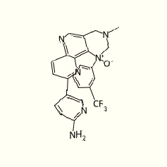 CN1Cc2cnc3ccc(-c4ccc(N)nc4)nc3c2[N+]([O-])(c2cccc(C(F)(F)F)c2)C1